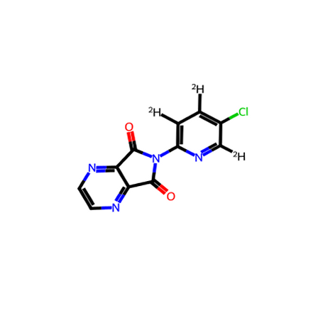 [2H]c1nc(N2C(=O)c3nccnc3C2=O)c([2H])c([2H])c1Cl